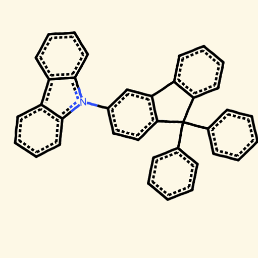 c1ccc(C2(c3ccccc3)c3ccccc3-c3cc(-n4c5ccccc5c5ccccc54)ccc32)cc1